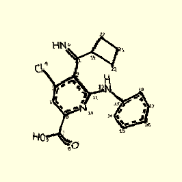 N=C(c1c(Cl)cc(C(=O)O)nc1Nc1ccccc1)C1CCC1